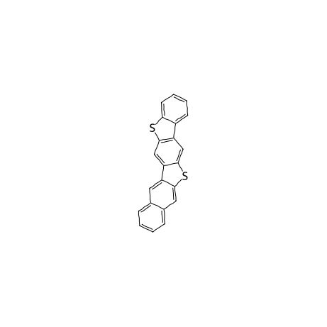 c1ccc2cc3c(cc2c1)sc1cc2c(cc13)sc1ccccc12